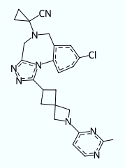 Cc1nccc(N2CC3(CC(c4nnc5n4-c4ccc(Cl)cc4CN(C4(C#N)CC4)C5)C3)C2)n1